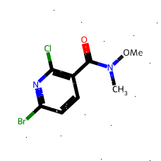 CON(C)C(=O)c1ccc(Br)nc1Cl